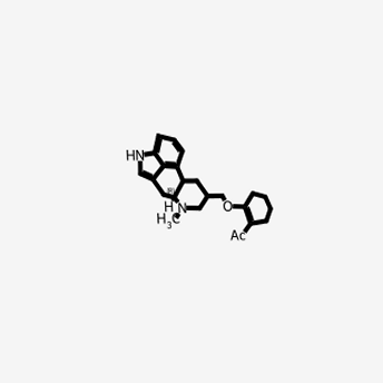 CC(=O)C1=C(OCC2CC3c4cccc5[nH]cc(c45)C[C@H]3N(C)C2)CCCC1